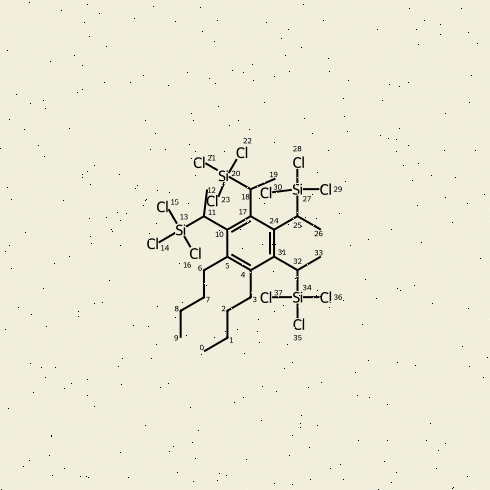 CCCCc1c(CCCC)c(C(C)[Si](Cl)(Cl)Cl)c(C(C)[Si](Cl)(Cl)Cl)c(C(C)[Si](Cl)(Cl)Cl)c1C(C)[Si](Cl)(Cl)Cl